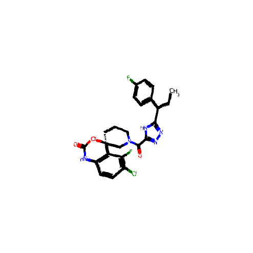 CCC(c1ccc(F)cc1)c1nnc(C(=O)N2CCC[C@@]3(C2)OC(=O)Nc2ccc(Cl)c(F)c23)[nH]1